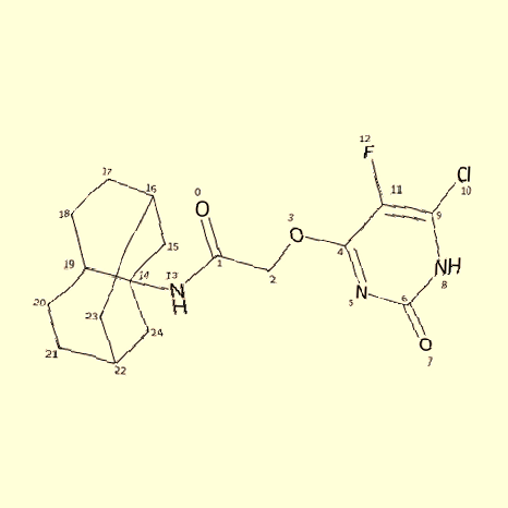 O=C(COc1nc(=O)[nH]c(Cl)c1F)NC12CC3CCC1CCC(C3)C2